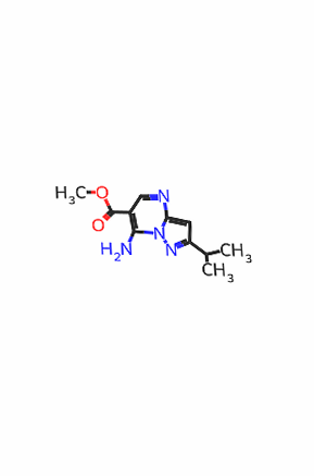 COC(=O)c1cnc2cc(C(C)C)nn2c1N